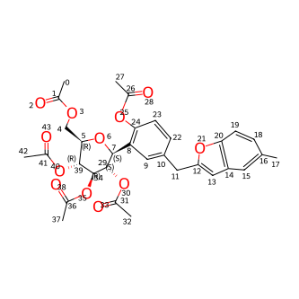 CC(=O)OC[C@H]1O[C@@H](c2cc(Cc3cc4cc(C)ccc4o3)ccc2OC(C)=O)[C@H](OC(C)=O)[C@@H](OC(C)=O)[C@@H]1OC(C)=O